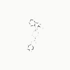 O=C(Cc1ccncc1)N1CCC(n2c(=O)[nH]c3ccccc32)CC1